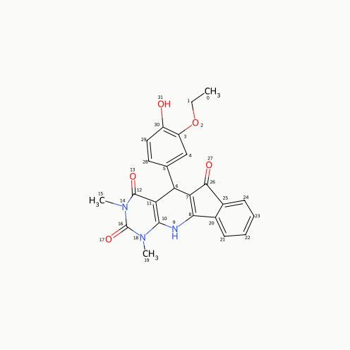 CCOc1cc(C2C3=C(Nc4c2c(=O)n(C)c(=O)n4C)c2ccccc2C3=O)ccc1O